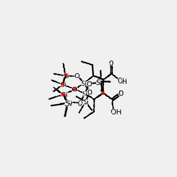 CCC(C(C(=O)O)=C(C(=O)O)C(CC)[Si](O[Si](C)(C)C)(O[Si](C)(C)C)O[Si](C)(C)C)[Si](O[Si](C)(C)C)(O[Si](C)(C)C)O[Si](C)(C)C